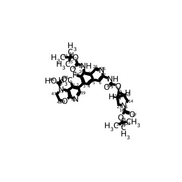 Cc1c(-c2cc3cc(NC(=O)O[C@H]4[C@@H]5CN(C(=O)OC(C)(C)C)C[C@@H]54)ncc3c(NC(=O)OC(C)(C)C)c2F)cnc2c1N(C(=O)O)CCO2